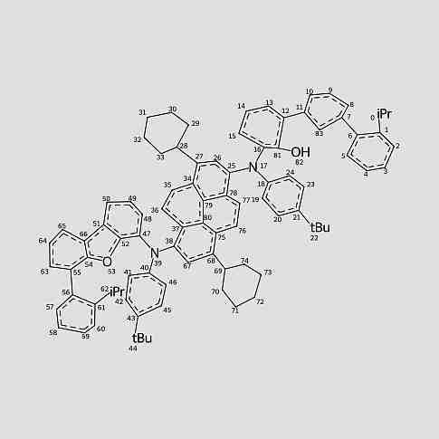 CC(C)c1ccccc1-c1cccc(-c2cccc(N(c3ccc(C(C)(C)C)cc3)c3cc(C4CCCCC4)c4ccc5c(N(c6ccc(C(C)(C)C)cc6)c6cccc7c6oc6c(-c8ccccc8C(C)C)cccc67)cc(C6CCCCC6)c6ccc3c4c65)c2O)c1